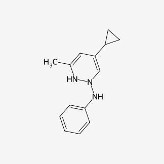 CC1=CC(C2CC2)=CN(Nc2ccccc2)N1